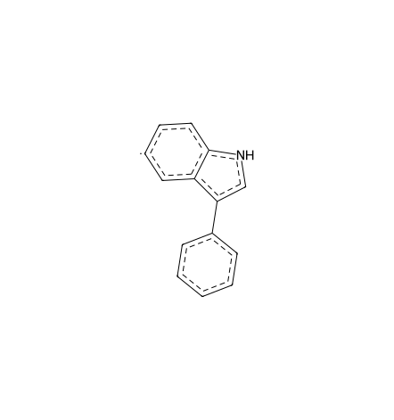 [c]1ccc2[nH]cc(-c3ccccc3)c2c1